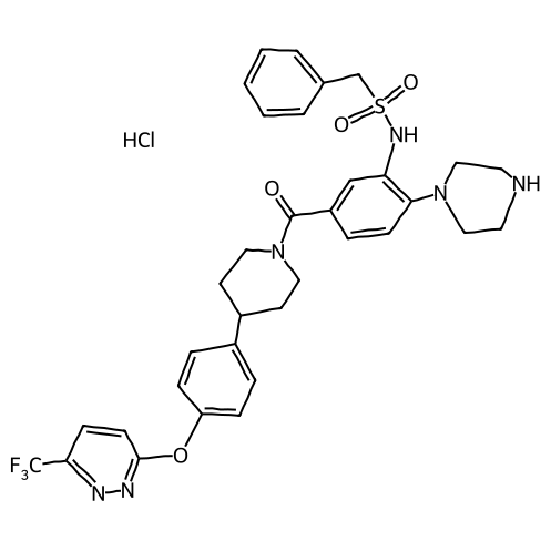 Cl.O=C(c1ccc(N2CCNCC2)c(NS(=O)(=O)Cc2ccccc2)c1)N1CCC(c2ccc(Oc3ccc(C(F)(F)F)nn3)cc2)CC1